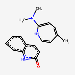 CC1=CC=C(N(C)C)NC=C1.O=c1ccc2ccccc2[nH]1